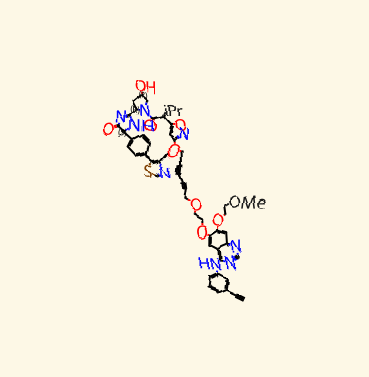 C#Cc1cccc(Nc2ncnc3cc(OCCOC)c(OCCOCC#CC#CCOc4cc(C(C(=O)N5C[C@H](O)C[C@@H]5C5=NC(=O)[C@](C)(c6ccc(-c7scnc7C)cc6)N5)C(C)C)on4)cc23)c1